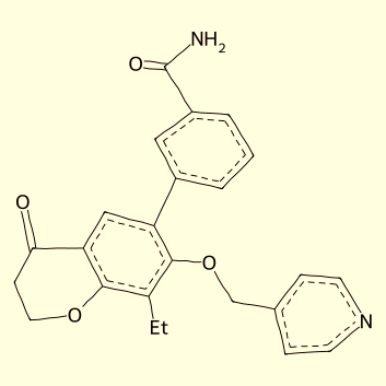 CCc1c2c(cc(-c3cccc(C(N)=O)c3)c1OCc1ccncc1)C(=O)CCO2